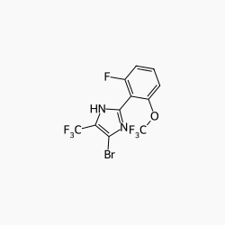 Fc1cccc(OC(F)(F)F)c1-c1nc(Br)c(C(F)(F)F)[nH]1